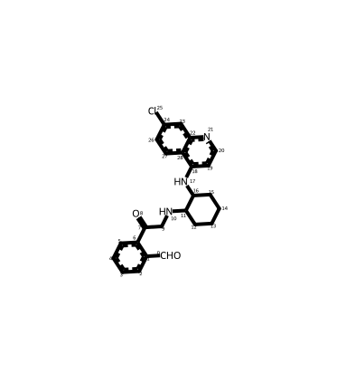 O=Cc1ccccc1C(=O)CNC1CCCCC1Nc1ccnc2cc(Cl)ccc12